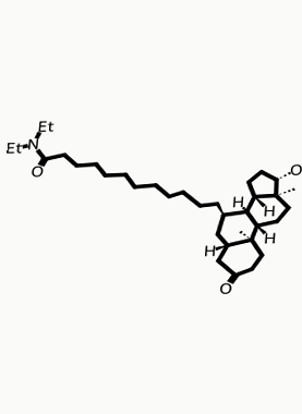 CCN(CC)C(=O)CCCCCCCCCCC[C@@H]1C[C@H]2CC(=O)CC[C@]2(C)[C@H]2CC[C@]3(C)[C@@H](O)CC[C@H]3[C@H]12